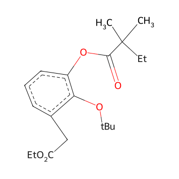 CCOC(=O)Cc1cccc(OC(=O)C(C)(C)CC)c1OC(C)(C)C